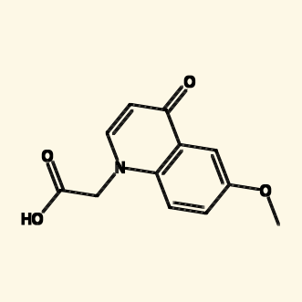 COc1ccc2c(c1)c(=O)ccn2CC(=O)O